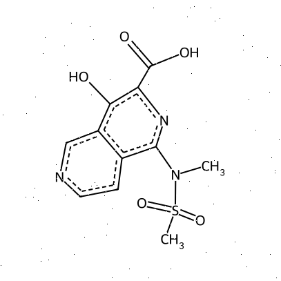 CN(c1nc(C(=O)O)c(O)c2cnccc12)S(C)(=O)=O